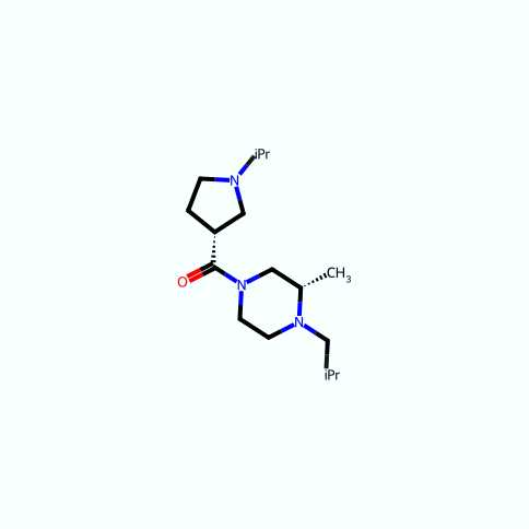 CC(C)CN1CCN(C(=O)[C@@H]2CCN(C(C)C)C2)C[C@@H]1C